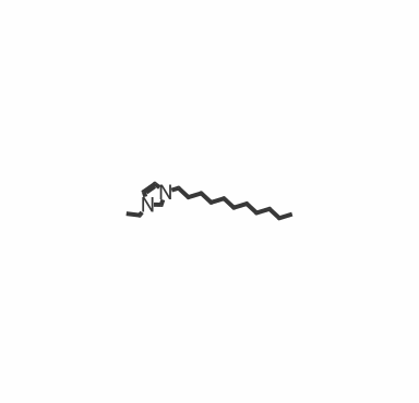 CCCCCCCCCCCN1C=CN(CC)C1